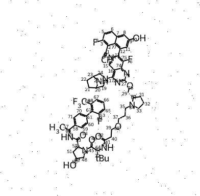 C#Cc1c(F)ccc2cc(O)cc(-c3ncc4c(N5CC6CCC(C5)N6)nc(OC[C@@H]5CCCN5CCCOCCC(=O)N[C@H](C(=O)N5C[C@H](O)C[C@H]5C(=O)N[C@@H](C)c5ccc(-c6c(F)cccc6C(F)(F)F)cc5)C(C)(C)C)nc4c3F)c12